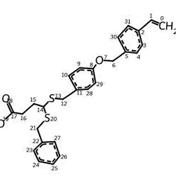 C=Cc1ccc(COc2ccc(CSC(CCC(=O)O)SCc3ccccc3)cc2)cc1